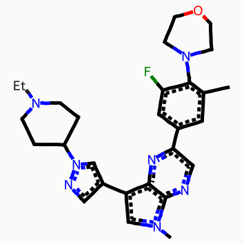 CCN1CCC(n2cc(-c3cn(C)c4ncc(-c5cc(C)c(N6CCOCC6)c(F)c5)nc34)cn2)CC1